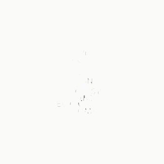 CC[C@@H]1C[C@]2(CC[C@H]1OC)Cc1ccc(Br)cc1/C2=N/[S@@+]([O-])C(C)(C)C